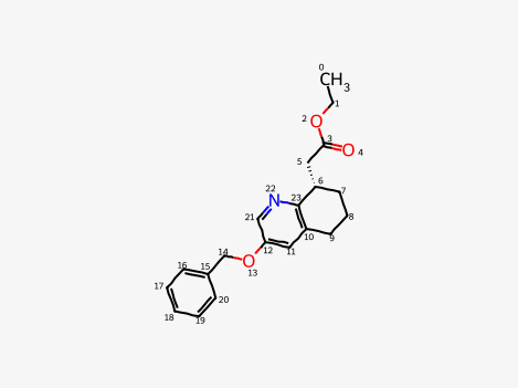 CCOC(=O)C[C@@H]1CCCc2cc(OCc3ccccc3)cnc21